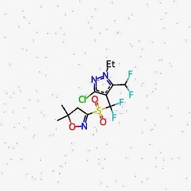 CCn1nc(Cl)c(C(F)(F)S(=O)(=O)C2=NOC(C)(C)C2)c1C(F)F